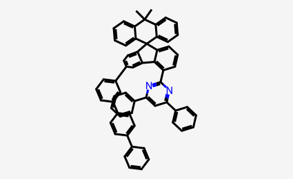 CC1(C)c2ccccc2C2(c3ccc(-c4cccc(-c5ccc(-c6ccccc6)cc5)c4)cc3-c3c(-c4nc(-c5ccccc5)cc(-c5ccccc5)n4)cccc32)c2ccccc21